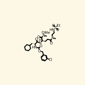 CCS(=O)(=O)NCCN(C)C(=O)CC[C@@H](NC(=O)[C@@H](CC1CCCCC1)NC(=O)OCc1cccc(Cl)c1)C(=O)N(C)OC